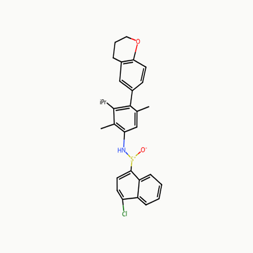 Cc1cc(N[S+]([O-])c2ccc(Cl)c3ccccc23)c(C)c(C(C)C)c1-c1ccc2c(c1)CCCO2